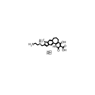 Cl.Cl.Cn1c(CNCCN)cc2cc3c(cc21)CCCc1c-3[nH]c(=O)c(C(=O)O)c1O